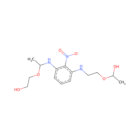 CC(O)OCCNc1cccc(NC(C)OCCO)c1[N+](=O)[O-]